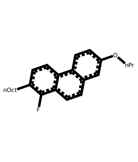 CCCCCCCCc1ccc2c(ccc3cc(OCCC)ccc32)c1F